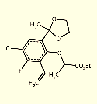 C=Cc1c(F)c(Cl)cc(C2(C)OCCO2)c1OC(C)C(=O)OCC